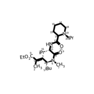 CCOC(=O)/C(C)=C/[C@H]([C@@H](C)CC)N(C)C(=O)[C@@H](NC(=O)C1CCCCN1C(C)C)C(C)C